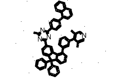 Cc1nc(-c2ccc(-c3cccc4ccccc34)cc2)nc(-c2ccc3c(c2)-c2c(-c4cccc(-c5c(C)cncc5C)c4)cccc2C3(c2ccccc2)c2ccccc2)n1